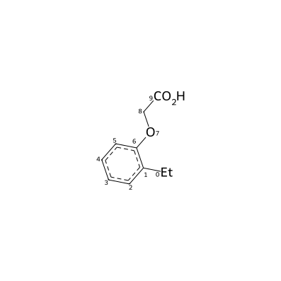 [CH2]Cc1ccccc1OCC(=O)O